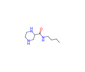 CCCCNC(=O)C1CNCCN1